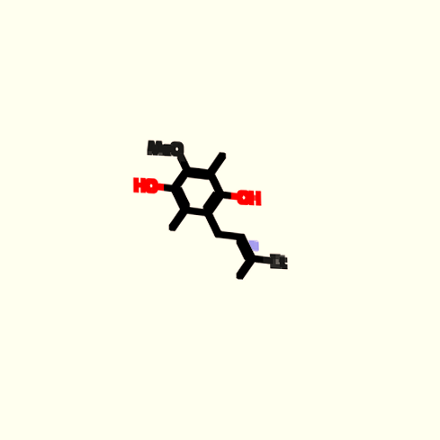 CC/C(C)=C/Cc1c(C)c(O)c(OC)c(C)c1O